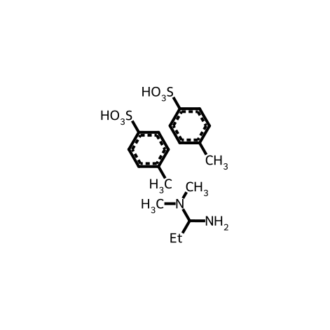 CCC(N)N(C)C.Cc1ccc(S(=O)(=O)O)cc1.Cc1ccc(S(=O)(=O)O)cc1